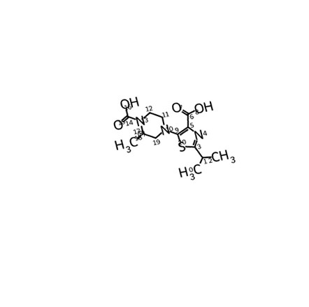 CC(C)c1nc(C(=O)O)c(N2CCN(C(=O)O)[C@H](C)C2)s1